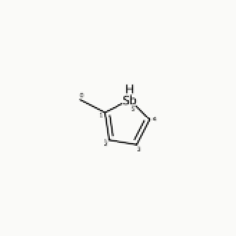 C[C]1=[C]C=[CH][SbH]1